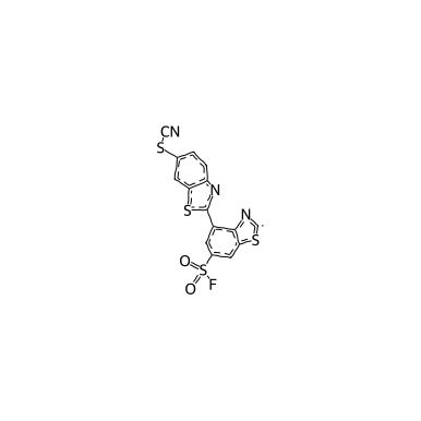 N#CSc1ccc2nc(-c3cc(S(=O)(=O)F)cc4s[c]nc34)sc2c1